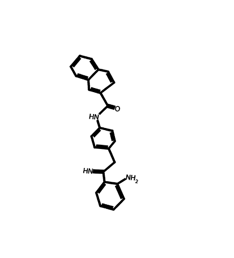 N=C(Cc1ccc(NC(=O)c2ccc3ccccc3c2)cc1)c1ccccc1N